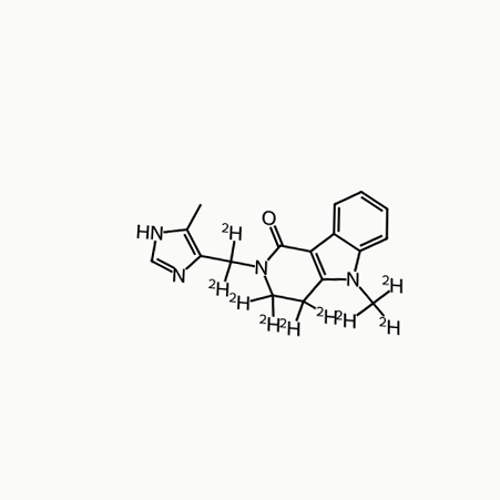 [2H]C([2H])(c1nc[nH]c1C)N1C(=O)c2c(n(C([2H])([2H])[2H])c3ccccc23)C([2H])([2H])C1([2H])[2H]